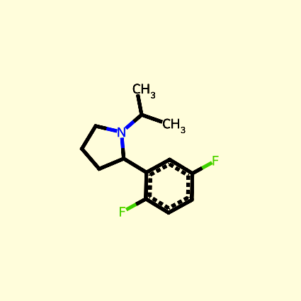 CC(C)N1CCCC1c1cc(F)ccc1F